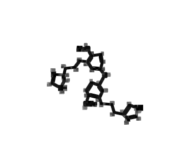 COc1ccc(Oc2ccc(OC)c(CCCc3c[nH]cn3)c2)cc1CCCc1c[nH]cn1